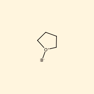 [B-][O+]1CCCC1